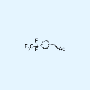 CC(=O)C=Cc1ccc(C(F)(F)C(F)(F)F)cc1